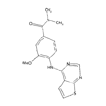 COc1cc(C(=O)N(C)C)ccc1Nc1ncnc2sccc12